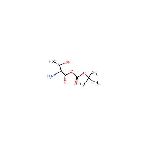 C[C@H](O)[C@H](N)C(=O)OC(=O)OC(C)(C)C